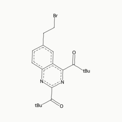 CC(C)(C)C(=O)c1nc(C(=O)C(C)(C)C)c2cc(CCBr)ccc2n1